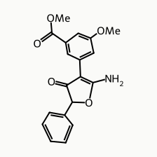 COC(=O)c1cc(OC)cc(C2=C(N)OC(c3ccccc3)C2=O)c1